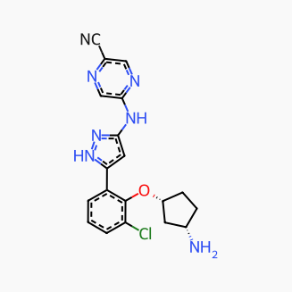 N#Cc1cnc(Nc2cc(-c3cccc(Cl)c3O[C@@H]3CC[C@H](N)C3)[nH]n2)cn1